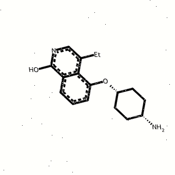 CCc1cnc(O)c2cccc(O[C@H]3CC[C@@H](N)CC3)c12